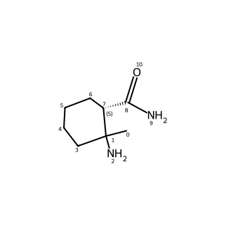 CC1(N)CCCC[C@@H]1C(N)=O